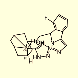 OC(CC1c2c(F)cccc2-c2cncn21)C12CC3CC(C1)[C@H](c1nnn[nH]1)[C@H](C3)C2